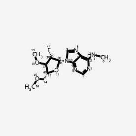 CNc1ncnc2c1ncn2[C@@H]1O[C@H](COC)C(OC)[C@@H]1F